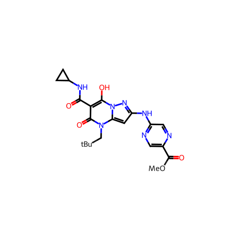 COC(=O)c1cnc(Nc2cc3n(CC(C)(C)C)c(=O)c(C(=O)NC4CC4)c(O)n3n2)cn1